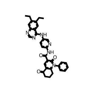 CCc1cc2ncnc(Nc3ccc(NC(=O)c4cc5c(n(-c6ccccc6)c4=O)CCCC5=O)nc3)c2cc1CC